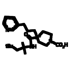 CC(C)(C)CC(C)(C)NC(=O)[N+]1(CCCc2cccnc2)CCN(C(=O)O)CC1